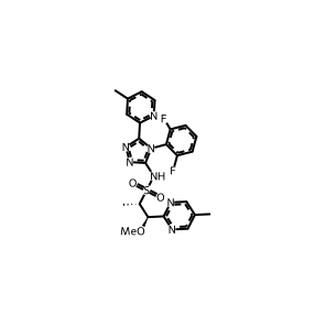 CO[C@H](c1ncc(C)cn1)[C@H](C)S(=O)(=O)Nc1nnc(-c2cc(C)ccn2)n1-c1c(F)cccc1F